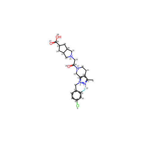 Cc1nn(Cc2ccc(Cl)cc2F)c2c1CCN(C(=O)CN1CC3CC(C(=O)O)CC3C1)C2